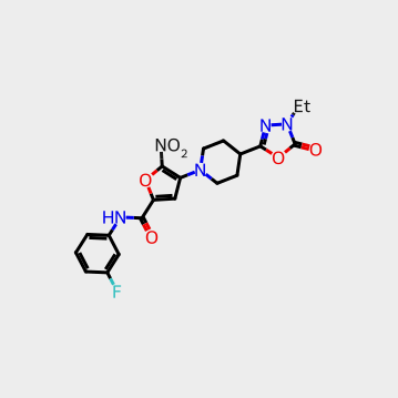 CCn1nc(C2CCN(c3cc(C(=O)Nc4cccc(F)c4)oc3[N+](=O)[O-])CC2)oc1=O